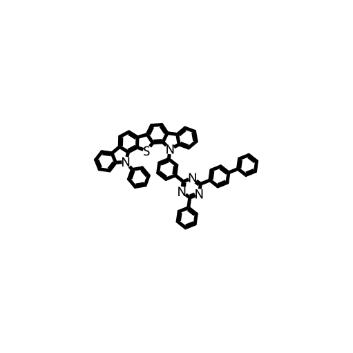 c1ccc(-c2ccc(-c3nc(-c4ccccc4)nc(-c4cccc(-n5c6ccccc6c6ccc7c8ccc9c%10ccccc%10n(-c%10ccccc%10)c9c8sc7c65)c4)n3)cc2)cc1